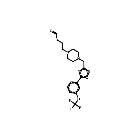 O=COCCN1CCN(Cc2noc(-c3cccc(OC(F)(F)F)c3)n2)CC1